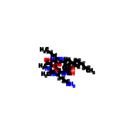 CCCCC[C@H](NC(=O)c1ccc(-c2ccc(CCCC)cc2)cc1)C(=O)N[C@H](C(=O)N[C@@H](C)C(=O)N[C@@H](CCCCN)C(=O)N[C@@H](C)B(O)O)C(C)O